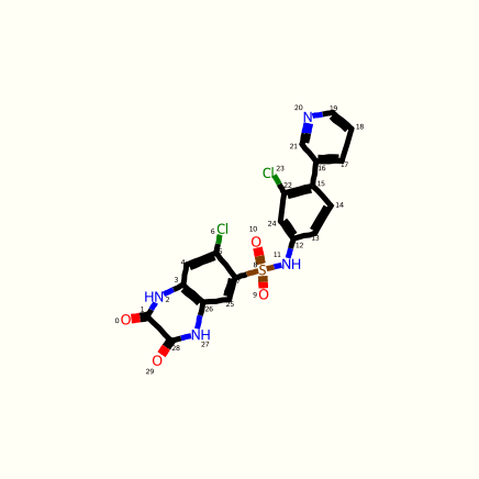 O=c1[nH]c2cc(Cl)c(S(=O)(=O)Nc3ccc(-c4cccnc4)c(Cl)c3)cc2[nH]c1=O